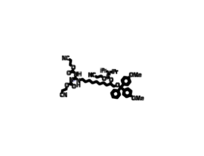 COc1ccc(C(OCC(CCCCCCCCN/C(=N\C(=O)OCCC#N)NC(=O)OCCC#N)OP(OCCC#N)N(C(C)C)C(C)C)(c2ccccc2)c2ccc(OC)cc2)cc1